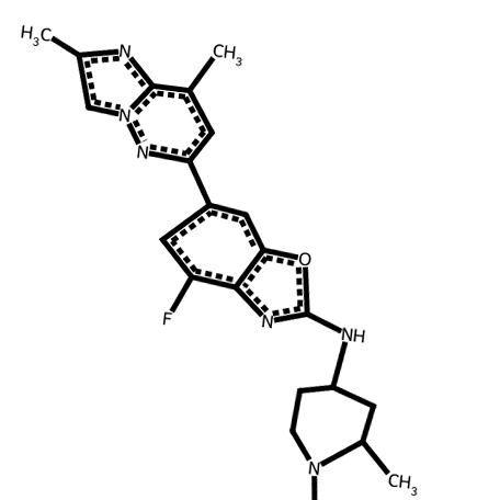 CCN1CCC(Nc2nc3c(F)cc(-c4cc(C)c5nc(C)cn5n4)cc3o2)CC1C